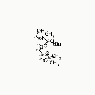 CN(C(=O)OC(C)(C)C)[C@H](CO)COC[C@@H]1COC(C)(C)O1